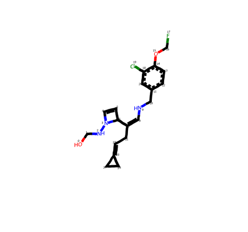 OCNN1C=CC1/C(=C\NCc1ccc(OCF)c(Cl)c1)CC=C1CC1